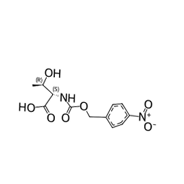 C[C@@H](O)[C@H](NC(=O)OCc1ccc([N+](=O)[O-])cc1)C(=O)O